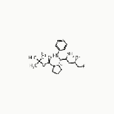 CC(C)(C)OC(=O)N1CCC[C@H]1C(Nc1ccccc1)C(N)CC(Br)CF